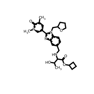 Cc1cc(-c2nc3cc(CNC(C(=O)OC4CCC4)C(C)O)ccc3n2CC2CCCO2)cn(C)c1=O